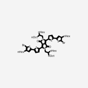 CCCCCCCCC(CCCCCC)CN1C(=O)C2=C(C3CC=C(C4=CC(CCCCCC)C(Br)S4)S3)N(CC(CCCCCC)CCCCCCCC)C(=O)C2=C1c1ccc(-c2cc(CCCCCC)c(Br)s2)s1